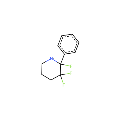 FC1(F)CCC[N]C1(F)c1ccccc1